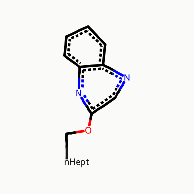 CCCCCCCCOc1cnc2ccccc2n1